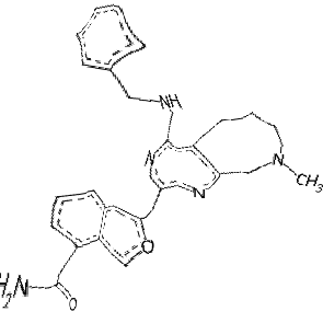 CN1CCCc2c(nc(-c3occ4c(C(N)=O)cccc34)nc2NCc2ccccc2)C1